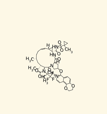 CC[C@@H]1C[C@H](C)CC/C=C\[C@@H]2C[C@@]2(C(=O)NS(=O)(=O)C2(C)CC2)NC(=O)[C@@H]2C[C@@H](Oc3nccc4c5c(ccc34)OCCO5)CN2C(=O)[C@H]1N(C(=O)O)C(C)(C)C(F)(F)F